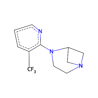 FC(F)(F)c1cccnc1N1CCN2CC1C2